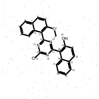 COc1ccc2ccccc2c1-c1nc(Cl)nc(-c2c(O)ccc3ccccc23)n1